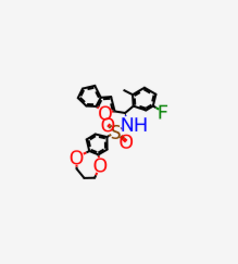 Cc1ccc(F)cc1[C@H](NS(=O)(=O)c1ccc2c(c1)OCCCO2)c1cc2ccccc2o1